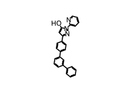 Oc1cc(-c2ccc(-c3cccc(-c4ccccc4)c3)cc2)nn1-c1ccccn1